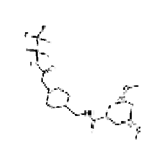 CO[C@@H]1CC(C(=O)NCC2CCN(CC(=O)NC(C)(C)C(F)(F)F)CC2)C[C@H](OC)C1